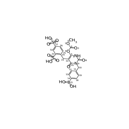 COC(=O)Oc1[nH]c(=O)n(Cc2ccc(B(O)O)cc2)c(=O)c1Cc1ccc(S(=O)(=O)O)cc1S(=O)(=O)O